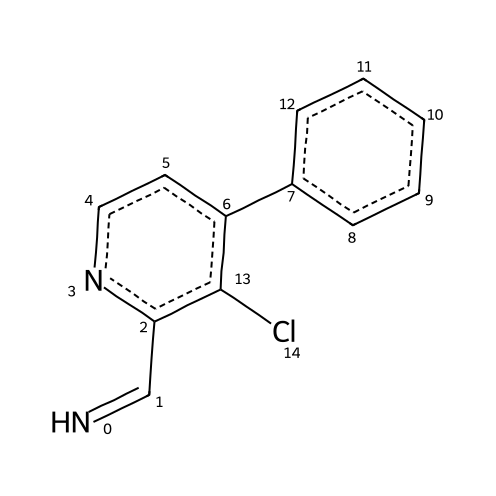 N=Cc1nccc(-c2ccccc2)c1Cl